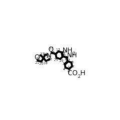 N=C(C1=CCC(C(=O)O)CC1)C1=C(N)CC(C(=O)N2CCC3(CCOC3)C2)CC1